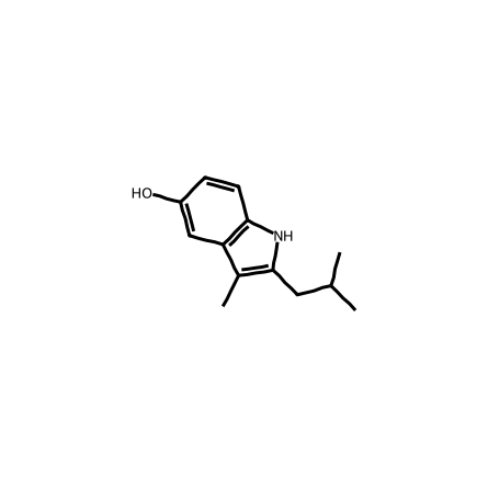 Cc1c(CC(C)C)[nH]c2ccc(O)cc12